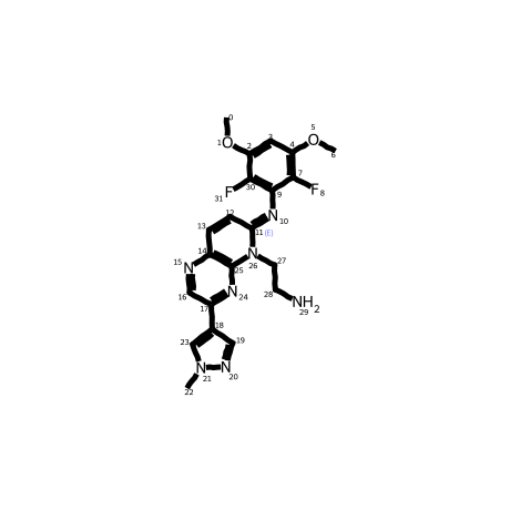 COc1cc(OC)c(F)c(/N=c2\ccc3ncc(-c4cnn(C)c4)nc3n2CCN)c1F